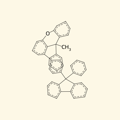 CC1(c2ccccc2)c2ccccc2Oc2cccc(-c3ccc(C4(c5ccccc5)c5ccccc5-c5ccccc54)cc3)c21